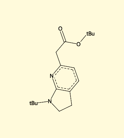 CC(C)(C)OC(=O)Cc1ccc2c(n1)N(C(C)(C)C)CC2